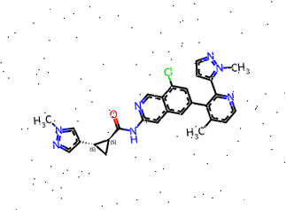 Cc1ccnc(-c2ccnn2C)c1-c1cc(Cl)c2cnc(NC(=O)[C@H]3C[C@@H]3c3cnn(C)c3)cc2c1